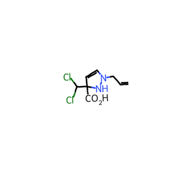 C=CCN1C=CC(C(=O)O)(C(Cl)Cl)N1